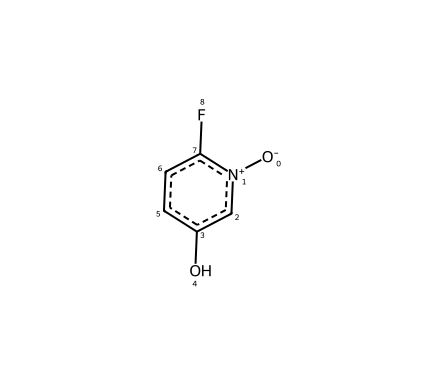 [O-][n+]1cc(O)ccc1F